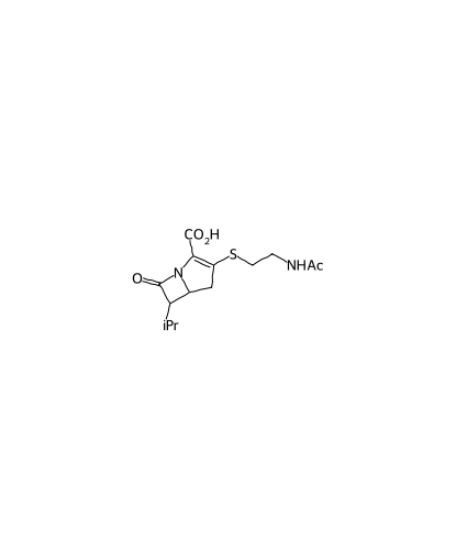 CC(=O)NCCSC1=C(C(=O)O)N2C(=O)C(C(C)C)C2C1